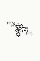 CC[C@@H](NC(C)=O)[C@H]1CN(S(=O)(=O)c2ccc(F)cc2)c2cc(NC(=O)OC(C)(C)C(F)(F)F)ccc2O1